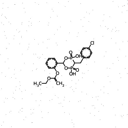 C=C(OCC)Oc1ccccc1C1OP(=O)(O)C(Cc2ccc(Cl)cc2)P(=O)(O)O1